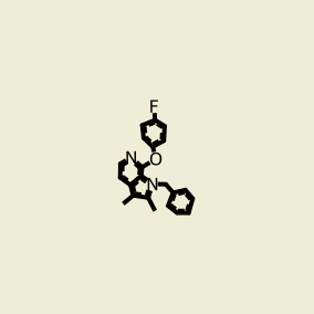 Cc1c(C)n(Cc2ccccc2)c2c(Oc3ccc(F)cc3)nccc12